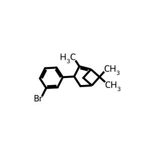 CC1=C2CC(CC1c1cccc(Br)c1)C2(C)C